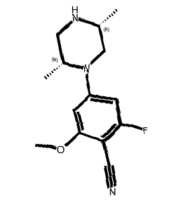 COc1cc(N2C[C@@H](C)NC[C@H]2C)cc(F)c1C#N